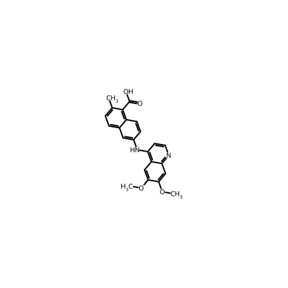 COc1cc2nccc(Nc3ccc4c(C(=O)O)c(C)ccc4c3)c2cc1OC